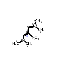 CN(C)/C=C(/C=[N+](C)C)[N+](=O)[O-]